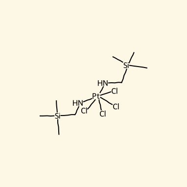 C[Si](C)(C)C[NH][Pt]([Cl])([Cl])([Cl])([Cl])[NH]C[Si](C)(C)C